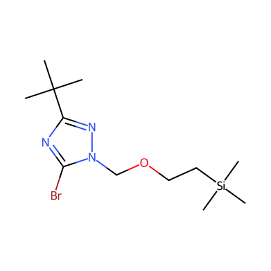 CC(C)(C)c1nc(Br)n(COCC[Si](C)(C)C)n1